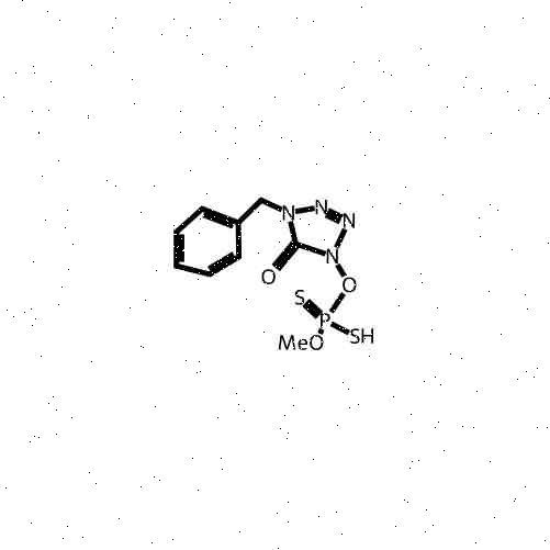 COP(=S)(S)On1nnn(Cc2ccccc2)c1=O